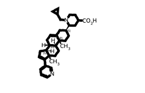 C[C@]12CC[C@H](C3CC(C(=O)O)CCN3CC3CC3)CC1=CC[C@@H]1[C@@H]2CC[C@]2(C)C(c3cccnc3)=CC[C@@H]12